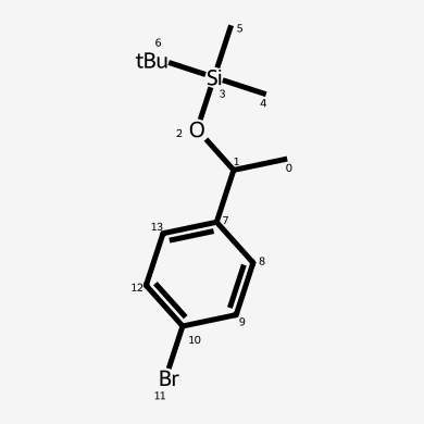 CC(O[Si](C)(C)C(C)(C)C)c1ccc(Br)cc1